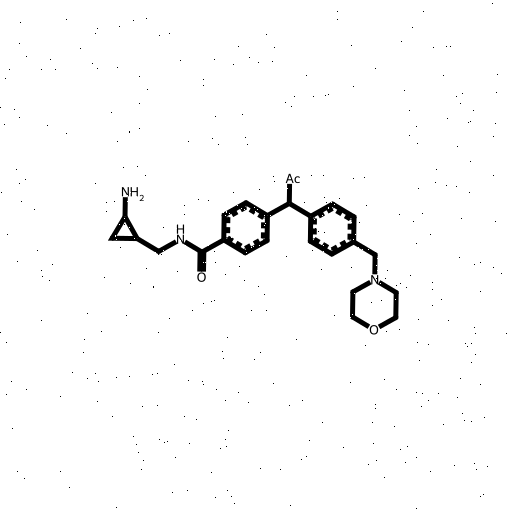 CC(=O)C(c1ccc(CN2CCOCC2)cc1)c1ccc(C(=O)N[CH]C2CC2N)cc1